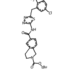 CC(C)(C)OC(=O)N1CCc2cc(C(=O)Nc3nnc(Cc4cc(Cl)ccc4C(F)(F)F)s3)ccc2C1